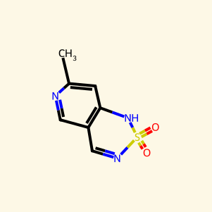 Cc1cc2c(cn1)C=NS(=O)(=O)N2